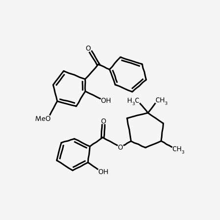 CC1CC(OC(=O)c2ccccc2O)CC(C)(C)C1.COc1ccc(C(=O)c2ccccc2)c(O)c1